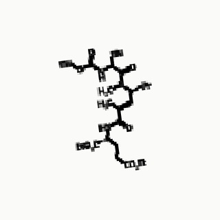 CCOC(=O)CC[C@@H](NC(=O)/C(C)=C/[C@H](C(C)C)N(C)C(=O)[C@@H](NC(=O)OC(C)(C)C)C(C)(C)C)C(=O)OCC